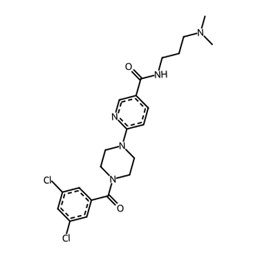 CN(C)CCCNC(=O)c1ccc(N2CCN(C(=O)c3cc(Cl)cc(Cl)c3)CC2)nc1